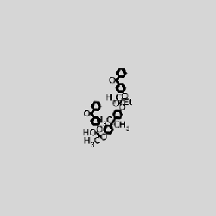 CCC(C)(Oc1ccc(C(=O)c2ccccc2)cc1)C(=O)Oc1ccc(C(C)(C)c2ccc(OC(C)C(O)Oc3ccc(C(=O)c4ccccc4)cc3)cc2)cc1